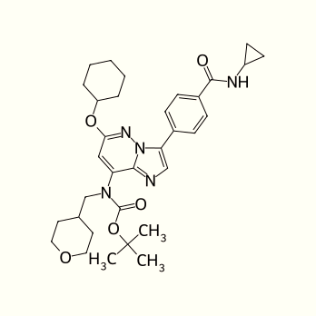 CC(C)(C)OC(=O)N(CC1CCOCC1)c1cc(OC2CCCCC2)nn2c(-c3ccc(C(=O)NC4CC4)cc3)cnc12